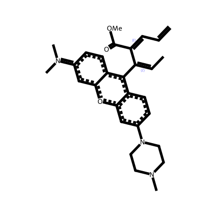 C=C/C=C(C(=O)OC)\C(=C/C)c1c2ccc(=[N+](C)C)cc-2oc2cc(N3CCN(C)CC3)ccc12